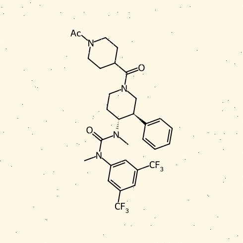 CC(=O)N1CCC(C(=O)N2CC[C@@H](N(C)C(=O)N(C)c3cc(C(F)(F)F)cc(C(F)(F)F)c3)[C@H](c3ccccc3)C2)CC1